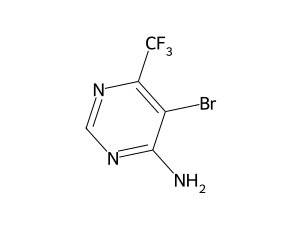 Nc1ncnc(C(F)(F)F)c1Br